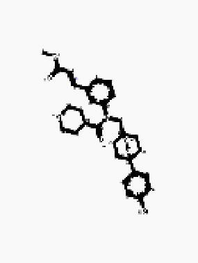 COC(=O)/C=C/c1cccc(N(CC23CCC(c4ccc(Br)cc4)(CC2)CC3)C(=O)C2CCOCC2)c1